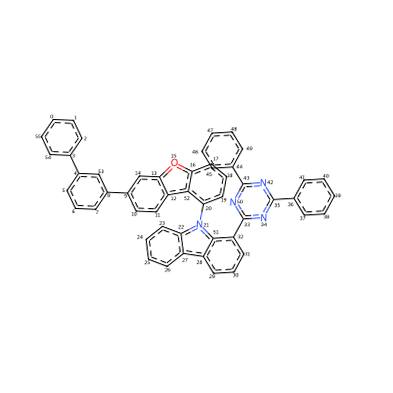 c1ccc(-c2cccc(-c3ccc4c(c3)oc3cccc(-n5c6ccccc6c6cccc(-c7nc(-c8ccccc8)nc(-c8ccccc8)n7)c65)c34)c2)cc1